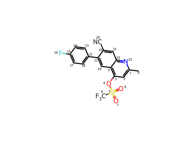 Cc1cc(OS(=O)(=O)C(F)(F)F)c2cc(-c3ccc(F)cc3)c(C#N)cc2n1